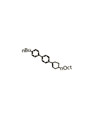 CCCCCCCCC1CC=C(c2ccc(-c3ccc(CCCC)cc3)cc2)CC1